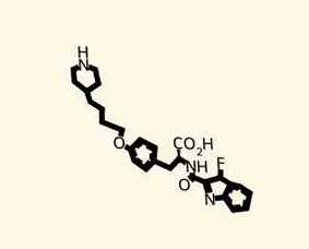 O=C(N[C@@H](Cc1ccc(OCCCCC2CCNCC2)cc1)C(=O)O)C1=Nc2ccccc2C1F